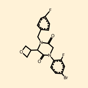 O=C1C(C2COC2)N(Cc2ccc(F)cc2)C(=O)CN1c1ccc(Br)cc1F